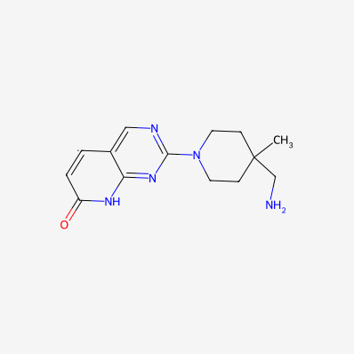 CC1(CN)CCN(c2ncc3[c]cc(=O)[nH]c3n2)CC1